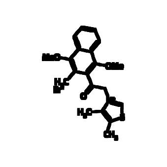 COc1c(C)c(C(=O)C[n+]2csc(C)c2C)c(OC)c2ccccc12.[Br-]